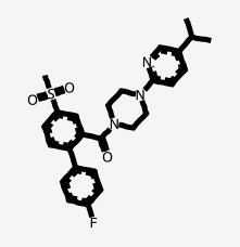 CC(C)c1ccc(N2CCN(C(=O)c3cc(S(C)(=O)=O)ccc3-c3ccc(F)cc3)CC2)nc1